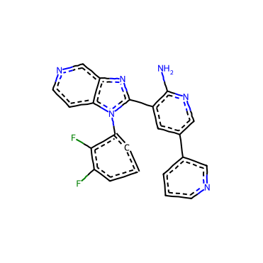 Nc1ncc(-c2cccnc2)cc1-c1nc2cnccc2n1-c1cccc(F)c1F